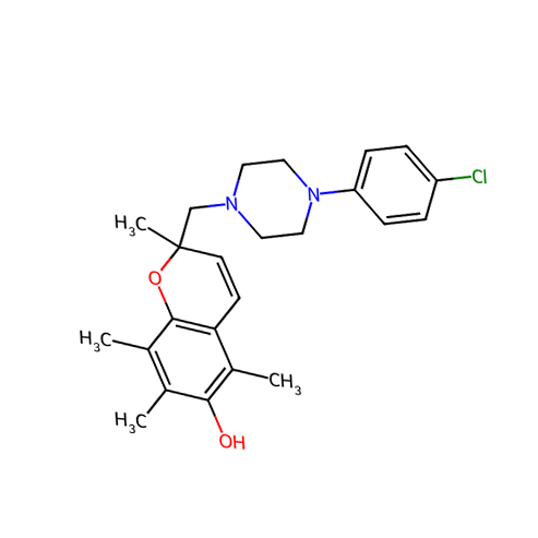 Cc1c(C)c2c(c(C)c1O)C=CC(C)(CN1CCN(c3ccc(Cl)cc3)CC1)O2